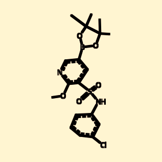 COc1ncc(B2OC(C)(C)C(C)(C)O2)cc1S(=O)(=O)Nc1cccc(Cl)c1